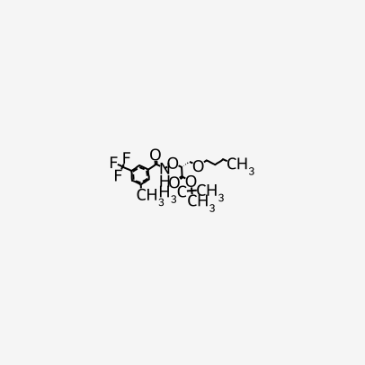 CCCCOC[C@@H](ONC(=O)c1cc(C)cc(C(F)(F)F)c1)C(=O)OC(C)(C)C